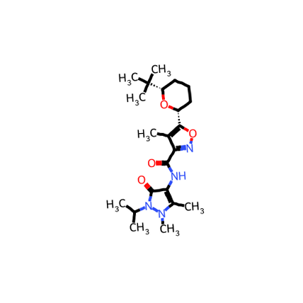 Cc1c(C(=O)Nc2c(C)n(C)n(C(C)C)c2=O)noc1[C@H]1CCC[C@@H](C(C)(C)C)O1